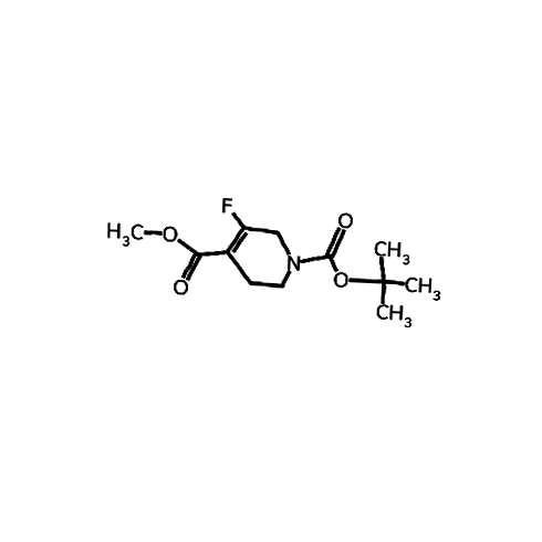 COC(=O)C1=C(F)CN(C(=O)OC(C)(C)C)CC1